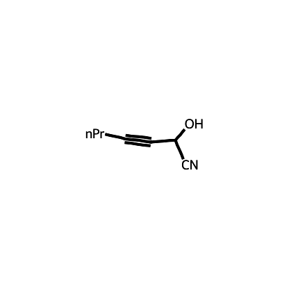 CCCC#CC(O)C#N